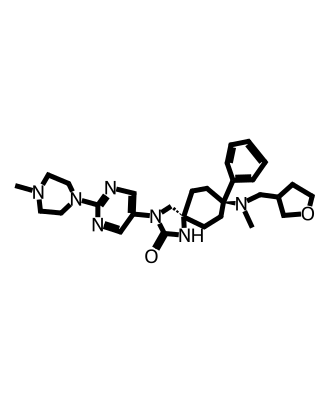 CN1CCN(c2ncc(N3C[C@]4(CC[C@](c5ccccc5)(N(C)CC5CCOC5)CC4)NC3=O)cn2)CC1